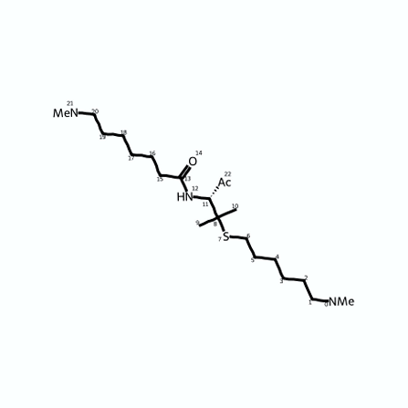 CNCCCCCCSC(C)(C)[C@H](NC(=O)CCCCCCNC)C(C)=O